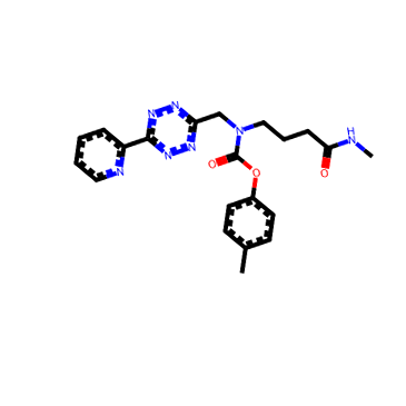 CNC(=O)CCCN(Cc1nnc(-c2ccccn2)nn1)C(=O)Oc1ccc(C)cc1